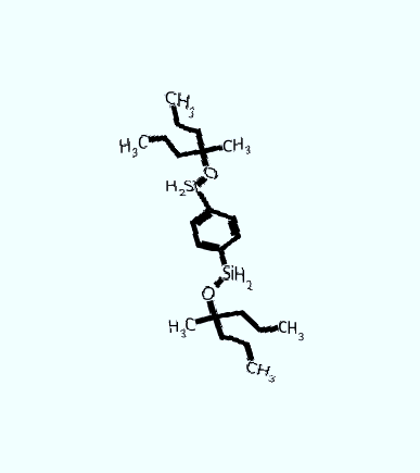 CCCC(C)(CCC)O[SiH2]c1ccc([SiH2]OC(C)(CCC)CCC)cc1